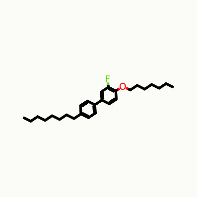 CCCCCCCCc1ccc(-c2ccc(OCCCCCCC)c(F)c2)cc1